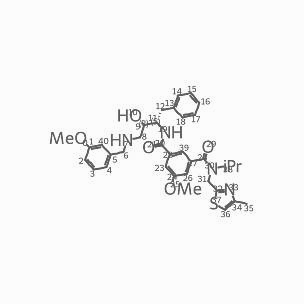 COc1cccc(CNC[C@@H](O)[C@H](Cc2ccccc2)NC(=O)c2cc(OC)cc(C(=O)N(Cc3nc(C)cs3)C(C)C)c2)c1